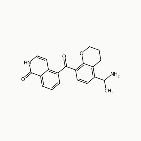 CC(N)c1ccc(C(=O)c2cccc3c(=O)[nH]ccc23)c2c1CCCO2